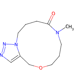 CN1CCCOCc2cnnn2CCCC1=O